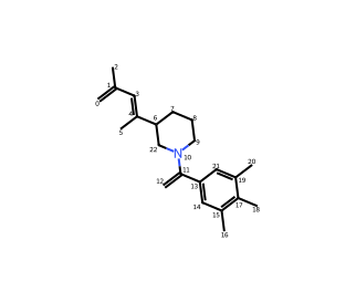 C=C(C)/C=C(\C)C1CCCN(C(=C)c2cc(C)c(C)c(C)c2)C1